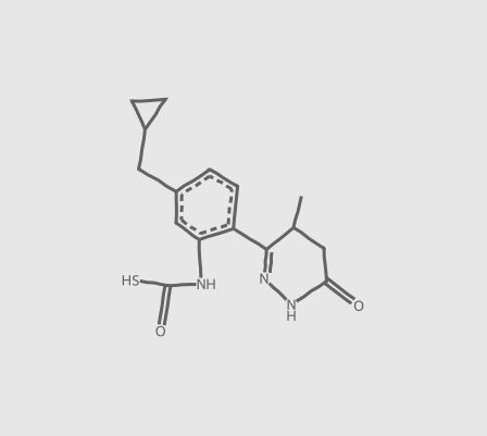 CC1CC(=O)NN=C1c1ccc(CC2CC2)cc1NC(=O)S